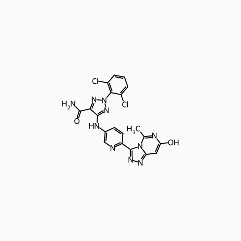 Cc1nc(O)cc2nnc(-c3ccc(Nc4nn(-c5c(Cl)cccc5Cl)nc4C(N)=O)cn3)n12